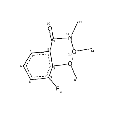 COc1c(F)cccc1C(=O)N(C)OC